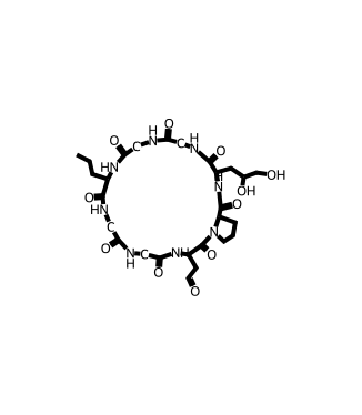 CCCC1NC(=O)CNC(=O)CNC(=O)C(CC(O)CO)NC(=O)C2CCCN2C(=O)C(CC=O)NC(=O)CNC(=O)CNC1=O